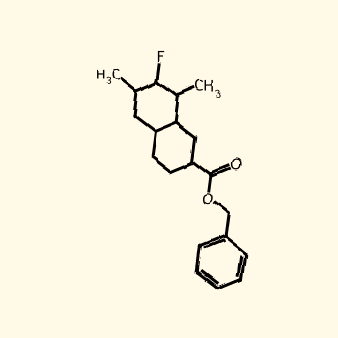 CC1CC2CCC(C(=O)OCc3ccccc3)CC2C(C)C1F